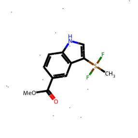 COC(=O)c1ccc2[nH]cc(S(C)(F)F)c2c1